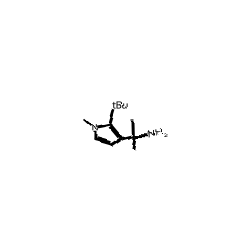 Cn1ccc(C(C)(C)N)c1C(C)(C)C